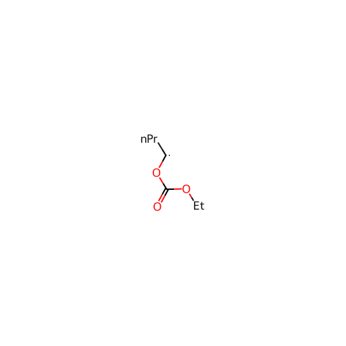 CCC[CH]OC(=O)OCC